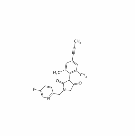 CC#Cc1cc(C)c(C2C(=O)CN(Cc3ccc(F)cn3)C2=O)c(C)c1